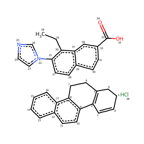 C1=CC2=C(CC1)CCc1c2ccc2ccccc12.CCc1c(-n2ccnc2)ccc2ccc(C(=O)O)cc12.Cl